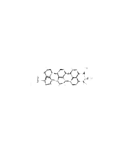 CB(C)c1ccc2c3ccc4c5ccc6c7c(ccc(c8ccc(c9cccc1c92)c3c84)c75)C(=O)N(C)C6=O